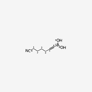 N#CCCCCC#CB(O)O